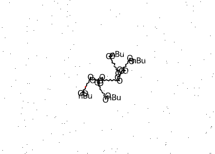 CCCCOC(=O)CCCCCCCC(=O)OCC(COC(=O)CCCCCCCC(=O)OCC(COC(=O)CCCCCC(=O)OCCCC)OC(=O)CCCCCCCC(=O)OCCCC)OC(=O)CCCCCCCC(=O)OCCCC